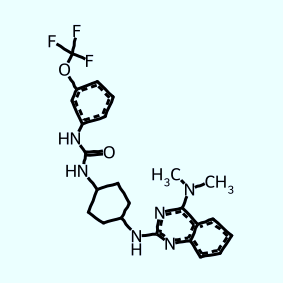 CN(C)c1nc(NC2CCC(NC(=O)Nc3cccc(OC(F)(F)F)c3)CC2)nc2ccccc12